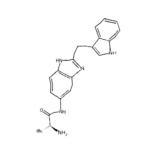 CC[C@@H](C)[C@H](N)C(=O)Nc1ccc2[nH]c(Cc3c[nH]c4ccccc34)nc2c1